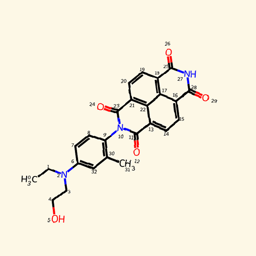 CCN(CCO)c1ccc(N2C(=O)c3ccc4c5c(ccc(c35)C2=O)C(=O)NC4=O)c(C)c1